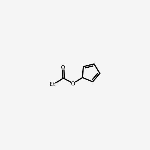 CCC(=O)OC1C=CC=C1